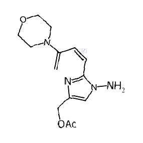 C=C(/C=C\c1nc(COC(C)=O)cn1N)N1CCOCC1